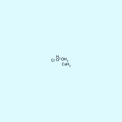 O.O.[CaH2].[Cr]